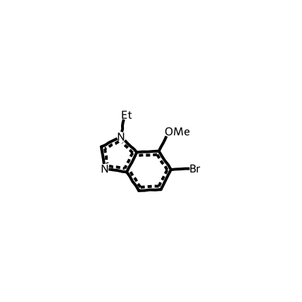 CCn1cnc2ccc(Br)c(OC)c21